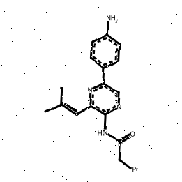 CC(C)=Cc1nc(-c2ccc(N)cc2)cnc1NC(=O)CC(C)C